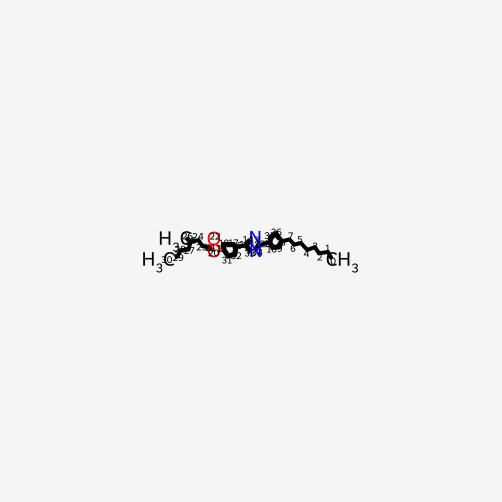 CCCCCCCCc1ccc(-c2ncc(-c3ccc(OC(=O)CCC(C)CCCC)cc3)cn2)cc1